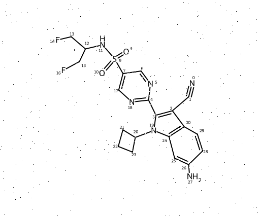 N#Cc1c(-c2ncc(S(=O)(=O)NC(CF)CF)cn2)n(C2CCC2)c2cc(N)ccc12